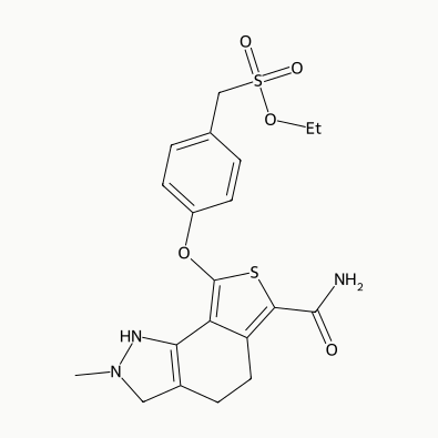 CCOS(=O)(=O)Cc1ccc(Oc2sc(C(N)=O)c3c2C2=C(CC3)CN(C)N2)cc1